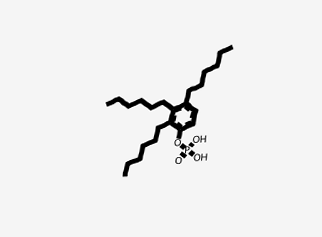 CCCCCCc1ccc(OP(=O)(O)O)c(CCCCCC)c1CCCCCC